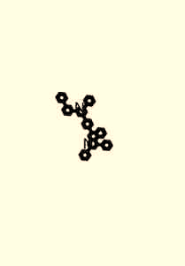 c1ccc(-c2cccc(-c3cc(-c4ccc(-c5cc6nc(-c7ccccc7)cc(-c7ccccc7)c6c6ccccc56)cc4)cc(-c4ccccc4)n3)c2)cc1